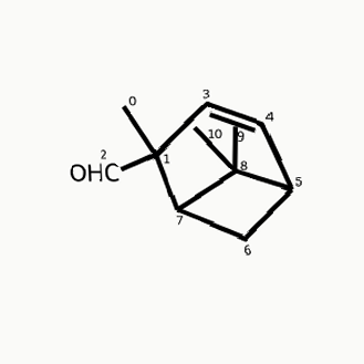 CC1(C=O)C=CC2CC1C2(C)C